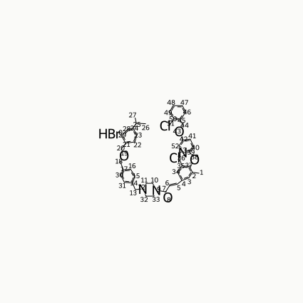 Br.Cc1cc(C=CC(=O)N2CCN(Cc3ccc(COCc4ccc(C(C)C)cc4)cc3)CC2)cc(Cl)c1Oc1ccc(OCc2ccccc2Cl)cn1